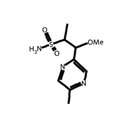 COC(c1cnc(C)cn1)C(C)S(N)(=O)=O